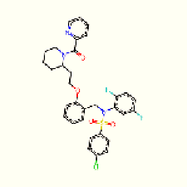 O=C(c1ccccn1)N1CCCCC1CCOc1ccccc1CN(c1cc(F)ccc1F)S(=O)(=O)c1ccc(Cl)cc1